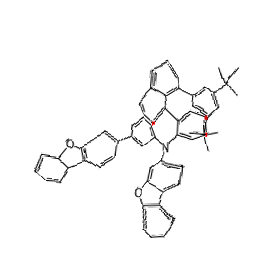 CC(C)(C)c1cc(-c2cccc3cccc(-c4ccccc4N(c4cccc(-c5ccc6c(c5)OC5C=CC=CC65)c4)c4ccc5c(c4)oc4ccccc45)c23)cc(C(C)(C)C)c1